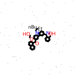 CCCCC(CC)Cn1c2ccc(C(=O)c3c(OCCO)ccc4ccccc34)cc2c2cc(/C(=N/O)c3ccccc3C)ccc21